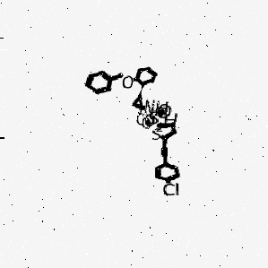 O=C(O)[C@@]1(NS(=O)(=O)c2ccc(C#Cc3ccc(Cl)cc3)s2)C[C@H]1c1ccccc1OCc1ccccc1